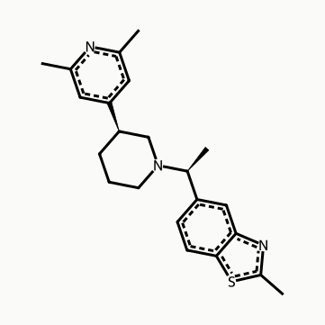 Cc1cc([C@@H]2CCCN([C@@H](C)c3ccc4sc(C)nc4c3)C2)cc(C)n1